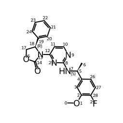 COc1cc([C@H](C)Nc2nccc(N3C(=O)OC[C@H]3c3ccccc3)n2)ccc1F